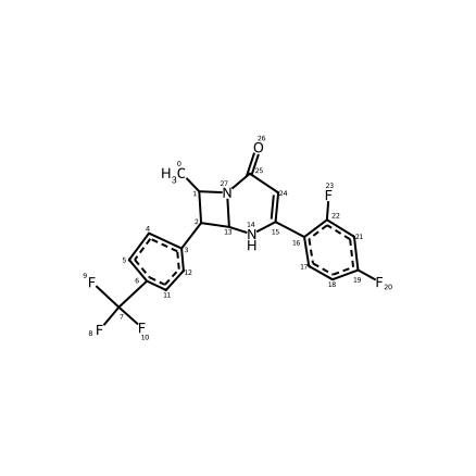 CC1C(c2ccc(C(F)(F)F)cc2)C2NC(c3ccc(F)cc3F)=CC(=O)N12